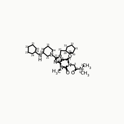 CN(C)C(=O)Cn1c(=O)c2c(nc(N3CCC[C@@H](NC4CCCCC4)C3)n2CC2C=CCCC2)n(C)c1=O